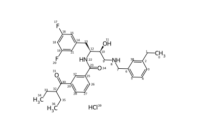 CCc1cccc(CNC[C@H](O)[C@H](Cc2cc(F)cc(F)c2)NC(=O)c2cccc(C(=O)C(CC)CC)c2)c1.Cl